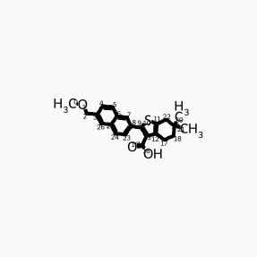 COCc1ccc2cc(-c3sc4c(c3C(=O)O)CCC(C)(C)C4)ccc2c1